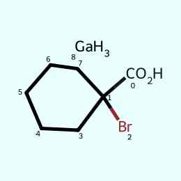 O=C(O)C1(Br)CCCCC1.[GaH3]